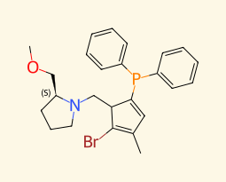 COC[C@@H]1CCCN1CC1C(P(c2ccccc2)c2ccccc2)=CC(C)=C1Br